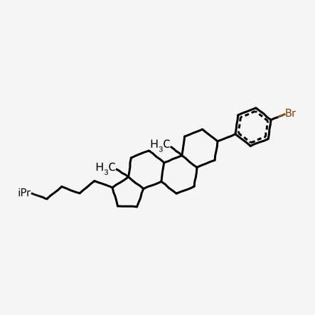 CC(C)CCCCC1CCC2C3CCC4CC(c5ccc(Br)cc5)CCC4(C)C3CCC12C